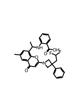 Cc1cc(C(C)Nc2ccccc2C(=O)O)c2oc(N3CC(CC(F)F)(c4ccccc4)C3)cc(=O)c2c1